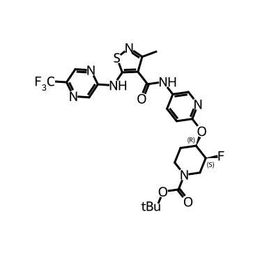 Cc1nsc(Nc2cnc(C(F)(F)F)cn2)c1C(=O)Nc1ccc(O[C@@H]2CCN(C(=O)OC(C)(C)C)C[C@@H]2F)nc1